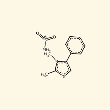 Cc1ncc(-c2ccccc2)n1C.N[SH](=O)=O